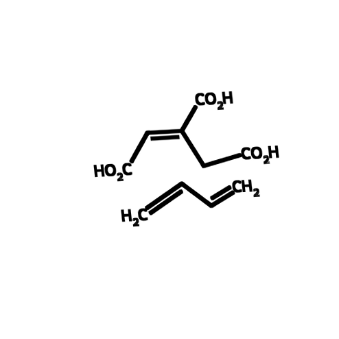 C=CC=C.O=C(O)C=C(CC(=O)O)C(=O)O